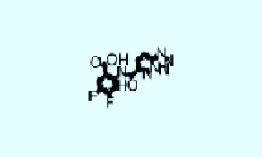 O=C(Nc1cc(F)c(F)cc1C(=O)O)c1ccc2nnnn2n1